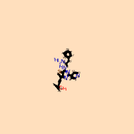 N[C@@H](CNc1nc(-c2ccncc2)nc2c(C#CC3(O)CC3)csc12)Cc1ccccc1